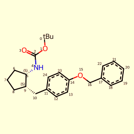 CC(C)(C)OC(=O)N[C@H]1CCC[C@H]1Cc1ccc(OCc2ccccc2)cc1